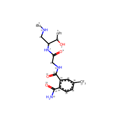 CCCC(O)C(CNC(C)CC)NC(=O)CNC(=O)c1cc(C(F)(F)F)ccc1C(N)=O